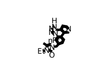 CCCc1c(C)n(CC)c(=O)n1Cc1ccc(-c2cnccc2-c2nnn[nH]2)cc1